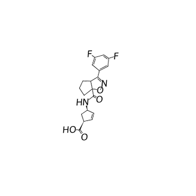 O=C(O)[C@@H]1C=C[C@H](NC(=O)C23CCCC2C(c2cc(F)cc(F)c2)=NO3)C1